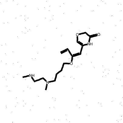 C=C/C(=C\C1=COCC(=O)N1)OCCCCN(C)CCNC